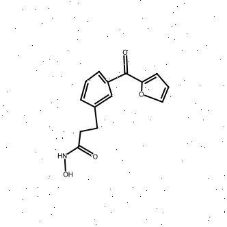 O=C(CCc1cccc(C(=O)c2ccco2)c1)NO